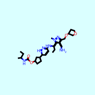 CC/C(NC1=NNC(C2CCC(OC(=O)NC(C)CC)C2)C=C1)=c1\c(=C/N)c(COC2CCOC2)nn1C